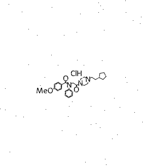 COc1ccc(C(=O)N(CC(=O)N2CCN(CCC3CCCC3)CC2)c2ccccc2)cc1.Cl